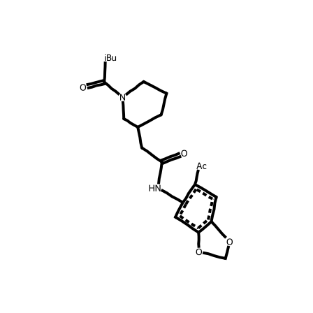 CCC(C)C(=O)N1CCCC(CC(=O)Nc2cc3c(cc2C(C)=O)OCO3)C1